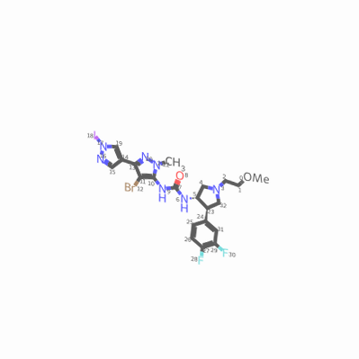 COCCN1C[C@@H](NC(=O)Nc2c(Br)c(-c3cnn(I)c3)nn2C)[C@H](c2ccc(F)c(F)c2)C1